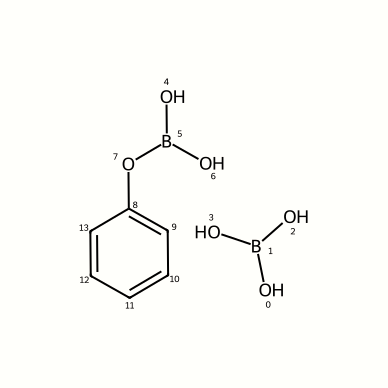 OB(O)O.OB(O)Oc1ccccc1